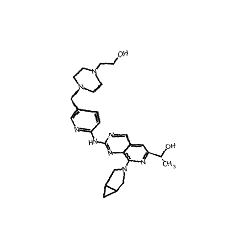 C[C@@H](O)c1cc2cnc(Nc3ccc(CN4CCN(CCO)CC4)cn3)nc2c(N2CC3CC3C2)n1